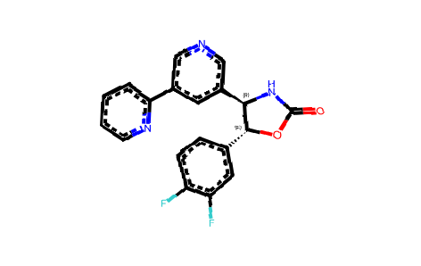 O=C1N[C@H](c2cncc(-c3ccccn3)c2)[C@@H](c2ccc(F)c(F)c2)O1